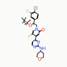 CC(C)(C)[Si](C)(C)O[C@H](Cn1cc(F)c(-c2ccnc(NC3CCOCC3)n2)cc1=O)c1ccc(Cl)c(F)c1